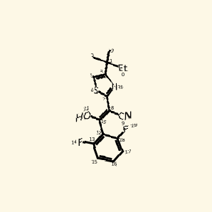 CCC(C)(C)c1csc(/C(C#N)=C(\O)c2c(F)cccc2F)n1